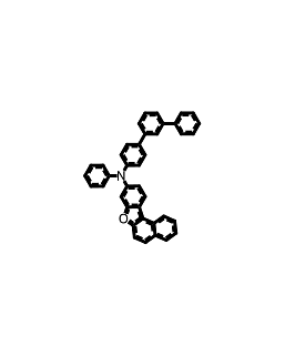 c1ccc(-c2cccc(-c3ccc(N(c4ccccc4)c4ccc5c(c4)oc4ccc6ccccc6c45)cc3)c2)cc1